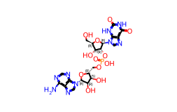 Nc1ncnc2c1ncn2[C@@H]1O[C@H](COP(=O)(O)O[C@@H]2[C@H](O)[C@@H](CO)O[C@H]2n2cnc3c(=O)[nH]c(=O)[nH]c32)[C@@H](O)[C@H]1O